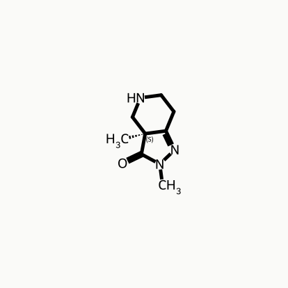 CN1N=C2CCNC[C@]2(C)C1=O